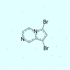 Brc1cc(Br)n2ccncc12